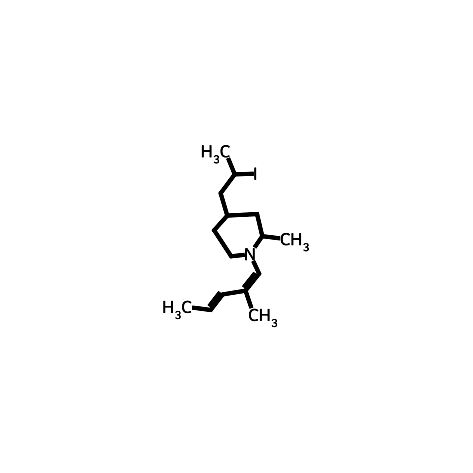 C/C=C/C(C)=C\N1CCC(CC(C)I)CC1C